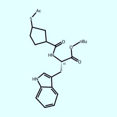 CCCCOC(=O)[C@H](Cc1c[nH]c2ccccc12)NC(=O)C1CCC(SC(C)=O)C1